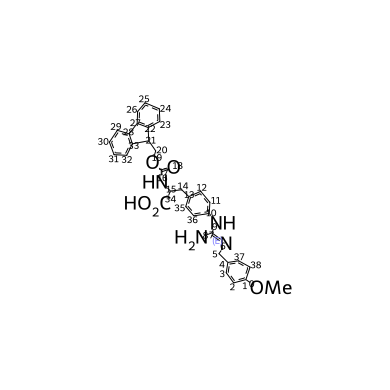 COc1ccc(C/N=C(\N)Nc2ccc(CC(NC(=O)OCC3c4ccccc4-c4ccccc43)C(=O)O)cc2)cc1